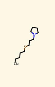 N#CCCCCSCCCN1CCCC1